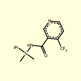 CC(C)[Si](C)(C)NC(=O)c1cnccc1C(F)(F)F